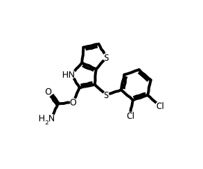 NC(=O)Oc1[nH]c2ccsc2c1Sc1cccc(Cl)c1Cl